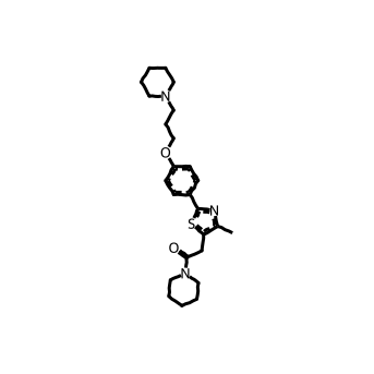 Cc1nc(-c2ccc(OCCCN3CCCCC3)cc2)sc1CC(=O)N1CCCCC1